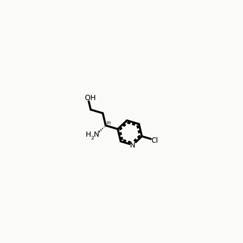 N[C@H](CCO)c1ccc(Cl)nc1